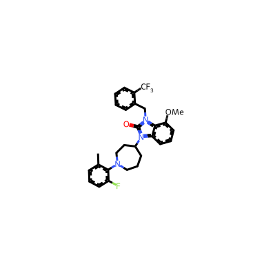 COc1cccc2c1n(Cc1ccccc1C(F)(F)F)c(=O)n2C1CCCN(c2c(C)cccc2F)CC1